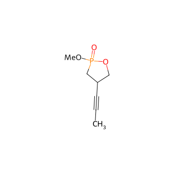 CC#CC1COP(=O)(OC)C1